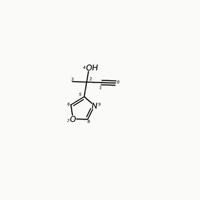 C#CC(C)(O)c1cocn1